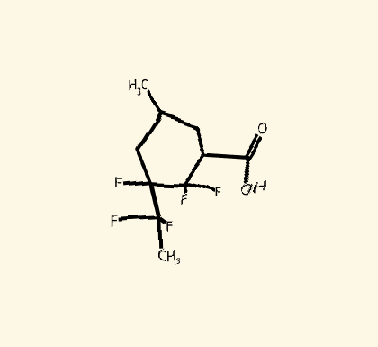 CC1CC(C(=O)O)C(F)(F)C(F)(C(C)(F)F)C1